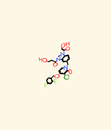 O=C(CO)N1CN(C(=O)CCO)c2cc(Cn3ccc(OCc4ccc(F)cc4F)c(Cl)c3=O)ccc21